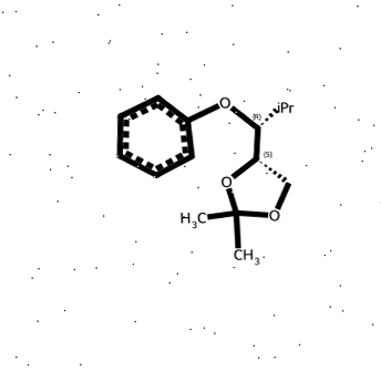 CC(C)[C@@H](Oc1ccccc1)[C@@H]1COC(C)(C)O1